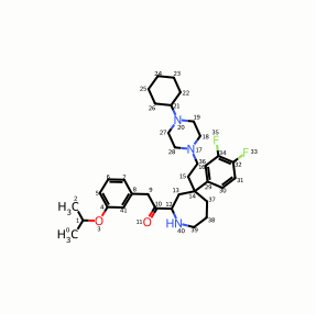 CC(C)Oc1cccc(CC(=O)C2CC(CCN3CCN(C4CCCCC4)CC3)(c3ccc(F)c(F)c3)CCCN2)c1